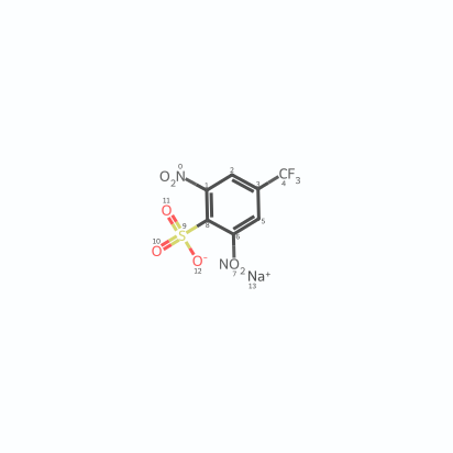 O=[N+]([O-])c1cc(C(F)(F)F)cc([N+](=O)[O-])c1S(=O)(=O)[O-].[Na+]